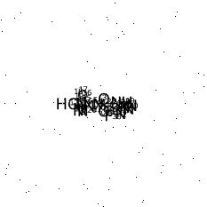 O=C(C(=O)N1CCN(c2nnc(O)n2-c2ccccc2)CC1)c1c[nH]c2c(-n3ccnn3)ncc(F)c12